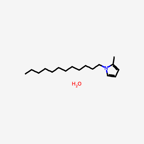 CCCCCCCCCCCCn1cccc1C.O